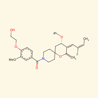 C=C1OC2(CCN(C(=O)c3ccc(OCCO)c(OC)c3)CC2)C[C@H](OC(C)C)/C1=C/C(F)=C\C